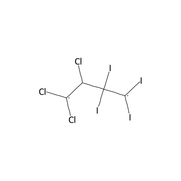 Cl[C](Cl)C(Cl)C(I)(I)[C](I)I